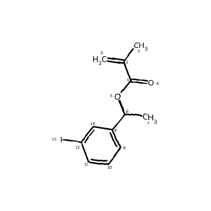 C=C(C)C(=O)OC(C)c1cccc(I)c1